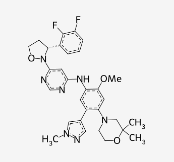 COc1cc(N2CCOC(C)(C)C2)c(-c2cnn(C)c2)cc1Nc1cc(N2OCC[C@@H]2c2cccc(F)c2F)ncn1